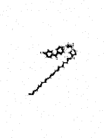 CCC=CCC=CCC=CCC=CCC=CCCCC(=O)NC1CCN(C(=O)C(C)(C)Oc2ccc(C(=O)c3ccc(Cl)cc3)cc2)C1